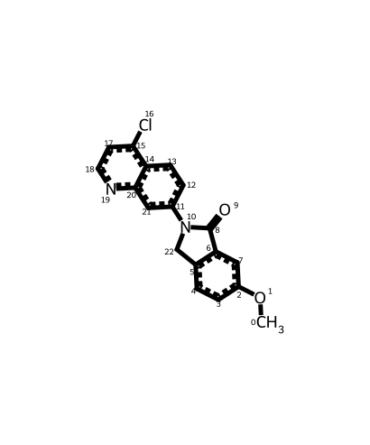 COc1ccc2c(c1)C(=O)N(c1ccc3c(Cl)ccnc3c1)C2